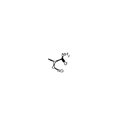 CN(ON=O)C(N)=O